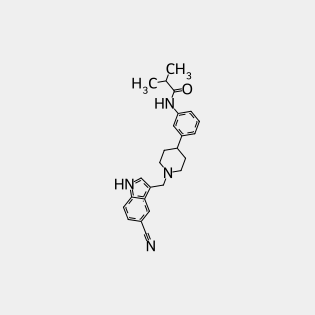 CC(C)C(=O)Nc1cccc(C2CCN(Cc3c[nH]c4ccc(C#N)cc34)CC2)c1